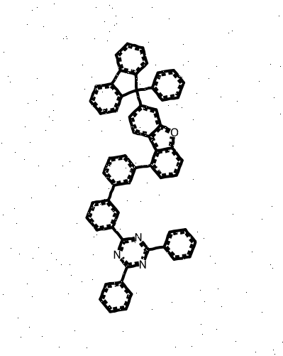 c1ccc(-c2nc(-c3ccccc3)nc(-c3cccc(-c4cccc(-c5cccc6oc7cc(C8(c9ccccc9)c9ccccc9-c9ccccc98)ccc7c56)c4)c3)n2)cc1